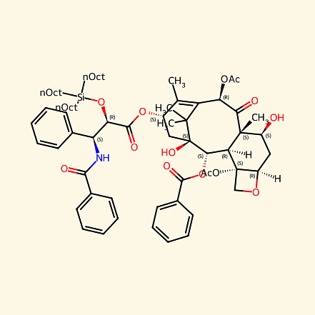 CCCCCCCC[Si](CCCCCCCC)(CCCCCCCC)O[C@@H](C(=O)O[C@H]1C[C@@]2(O)[C@@H](OC(=O)c3ccccc3)[C@@H]3[C@]4(OC(C)=O)CO[C@@H]4C[C@H](O)[C@@]3(C)C(=O)[C@H](OC(C)=O)C(=C1C)C2(C)C)[C@@H](NC(=O)c1ccccc1)c1ccccc1